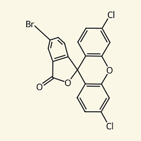 O=C1OC2(c3ccc(Cl)cc3Oc3cc(Cl)ccc32)c2ccc(Br)cc21